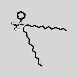 CCCCCCCCCCCCN(CCCCCCCCCCCC)N(C(=O)O)c1ccccc1